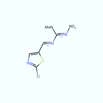 CNC(/N=C/c1cnc(Cl)s1)=N\[N+](=O)[O-]